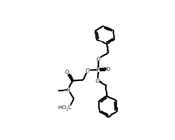 CN(CC(=O)O)C(=O)COP(=O)(OCc1ccccc1)OCc1ccccc1